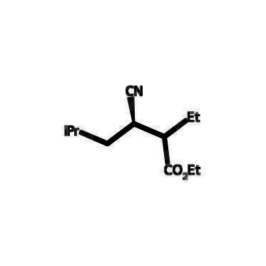 CCOC(=O)C(CC)[C@H](C#N)CC(C)C